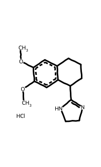 COc1cc2c(cc1OC)C(C1=NCCN1)CCC2.Cl